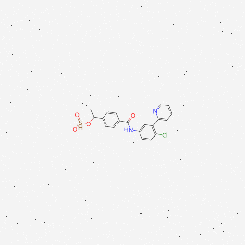 CC(O[SH](=O)=O)c1ccc(C(=O)Nc2ccc(Cl)c(-c3ccccn3)c2)cc1